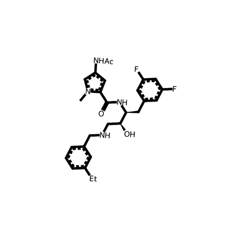 CCc1cccc(CNC[C@H](O)[C@H](Cc2cc(F)cc(F)c2)NC(=O)c2cc(NC(C)=O)cn2C)c1